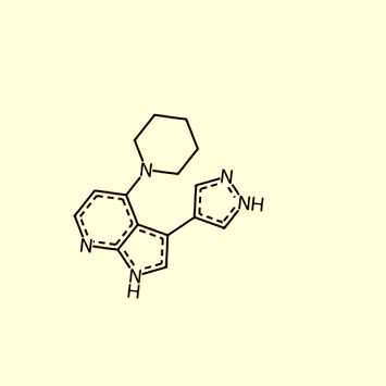 c1cc(N2CCCCC2)c2c(-c3cn[nH]c3)c[nH]c2n1